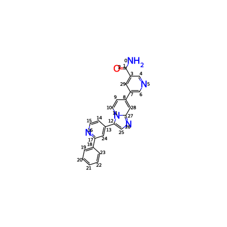 NC(=O)c1cncc(-c2ccn3c(-c4ccnc(-c5ccccc5)c4)cnc3c2)c1